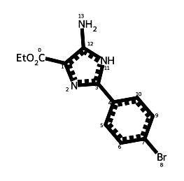 CCOC(=O)c1nc(-c2ccc(Br)cc2)[nH]c1N